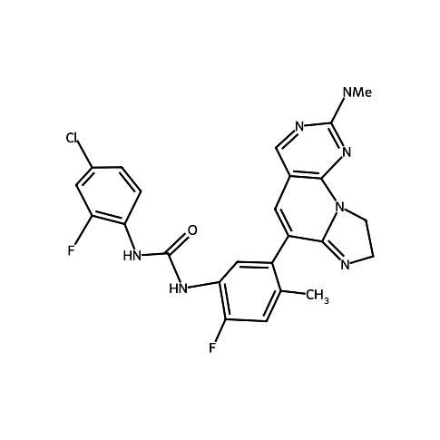 CNc1ncc2c(n1)N1CCN=C1C(c1cc(NC(=O)Nc3ccc(Cl)cc3F)c(F)cc1C)=C2